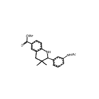 COC(=O)c1ccc2c(c1)CC(C)(C)C(c1cccc(NC(C)=O)c1)N2